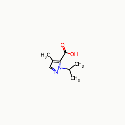 Cc1cnn(C(C)C)c1C(=O)O